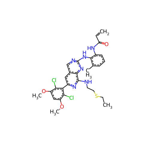 C=CC(=O)Nc1cccc(C)c1Nc1ncc2cc(-c3c(Cl)c(OC)cc(OC)c3Cl)nc(NCCSCC)c2n1